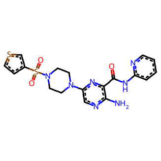 Nc1ncc(N2CCN(S(=O)(=O)c3ccsc3)CC2)nc1C(=O)Nc1ccccn1